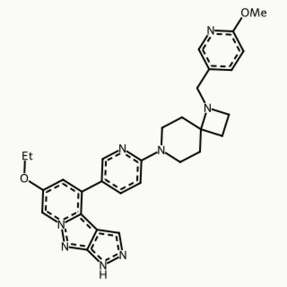 CCOc1cc(-c2ccc(N3CCC4(CC3)CCN4Cc3ccc(OC)nc3)nc2)c2c3cn[nH]c3nn2c1